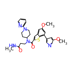 CNC(=O)CCN(C(=O)c1cc2cc(OC)cc(-c3cncc(OC)c3)c2s1)C1CCN(c2ccccn2)CC1